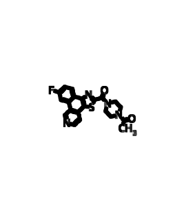 CC(=O)N1CCN(C(=O)c2nc3c4ccc(F)cc4c4cnccc4c3s2)CC1